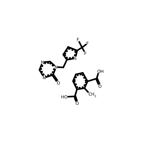 Cc1c(C(=O)O)cccc1C(=O)O.O=c1ncncn1Cc1ccc(C(F)(F)F)s1